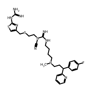 CN(CCCCNC(=N)N(C#N)CCSCc1csc(NC(=N)N)n1)CCC(c1ccc(F)cc1)c1ccccn1